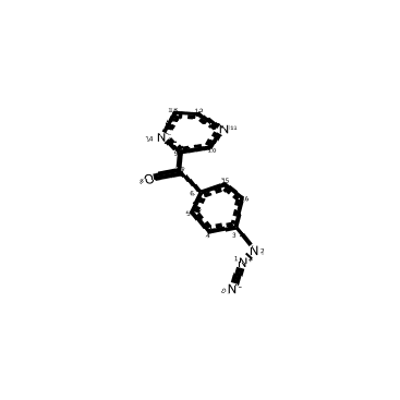 [N-]=[N+]=Nc1ccc(C(=O)c2cnccn2)cc1